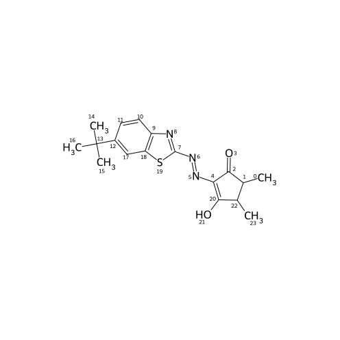 CC1C(=O)C(N=Nc2nc3ccc(C(C)(C)C)cc3s2)=C(O)C1C